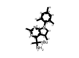 CCCCC(C)(N)c1nc(C)nc2c1C(C)CN2c1c(C)cc(C)cc1C